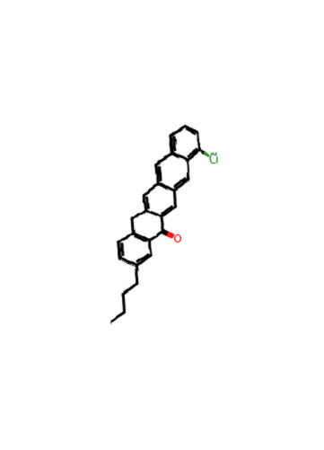 CCCCc1ccc2c(c1)C(=O)c1cc3cc4c(Cl)cccc4cc3cc1C2